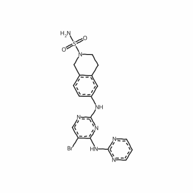 NS(=O)(=O)N1CCc2cc(Nc3ncc(Br)c(Nc4ncccn4)n3)ccc2C1